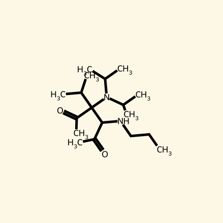 CCCNC(C(C)=O)C(C(C)=O)(C(C)C)N(C(C)C)C(C)C